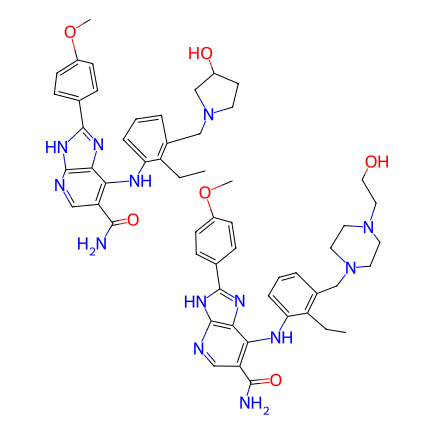 CCc1c(CN2CCC(O)C2)cccc1Nc1c(C(N)=O)cnc2[nH]c(-c3ccc(OC)cc3)nc12.CCc1c(CN2CCN(CCO)CC2)cccc1Nc1c(C(N)=O)cnc2[nH]c(-c3ccc(OC)cc3)nc12